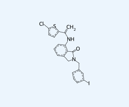 C=C(Nc1cccc2c1C(=O)N(Cc1cccc(I)c1)C2)c1ccc(Cl)s1